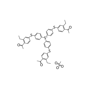 CCc1cc(Sc2ccc([S+](c3ccc(Sc4ccc(C(C)=O)c(CC)c4)cc3)c3ccc(Sc4ccc(C(C)=O)c(CC)c4)cc3)cc2)ccc1C(C)=O.CS(=O)(=O)[O-]